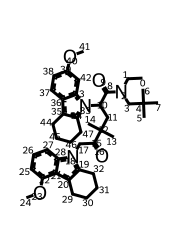 CCN(CC(C)(C)C)C(=O)C(CC(C)(C)C(=O)Cn1c2c(c3c(OC)cccc31)CCCC2)n1c2c(c3ccc(OC)cc31)CCCC2